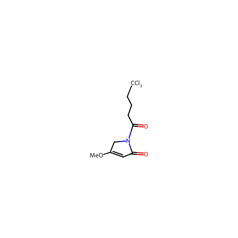 COC1=CC(=O)N(C(=O)CCCC(Cl)(Cl)Cl)C1